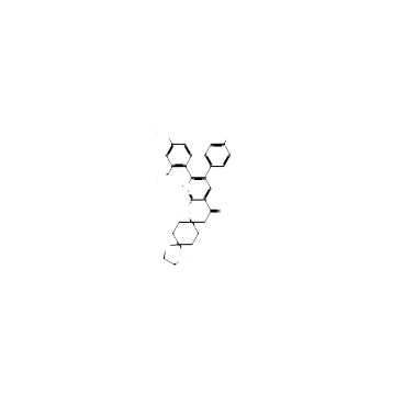 O=C1CC2(CCC3(CC2)OCCO3)Oc2nc(-c3ccc(Br)cc3Cl)c(-c3ccc(Cl)cc3)cc21